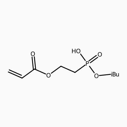 C=CC(=O)OCCP(=O)(O)OC(C)CC